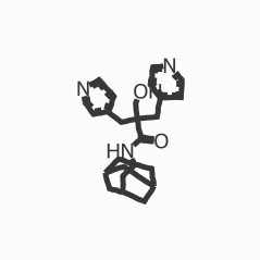 O=C(NC12CC3CC(CC(C3)C1)C2)C(CO)(Cc1ccncc1)Cc1ccncc1